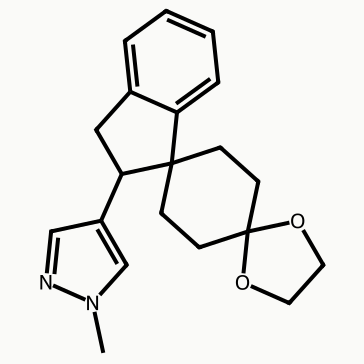 Cn1cc(C2Cc3ccccc3C23CCC2(CC3)OCCO2)cn1